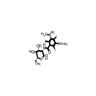 CC(=O)Nc1c(I)c(C(=O)N[C@H]2[C@@H](O)[C@H](O)[C@@H](CO)O[C@@H]2O)c(I)c(N(C)C(C)=O)c1I